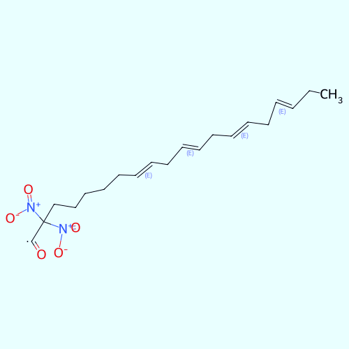 CC/C=C/C/C=C/C/C=C/C/C=C/CCCCCC([C]=O)([N+](=O)[O-])[N+](=O)[O-]